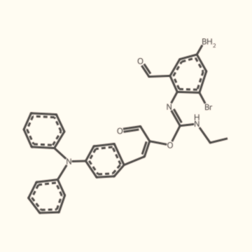 Bc1cc(Br)c(/N=C(\NCC)O/C(C=O)=C/c2ccc(N(c3ccccc3)c3ccccc3)cc2)c(C=O)c1